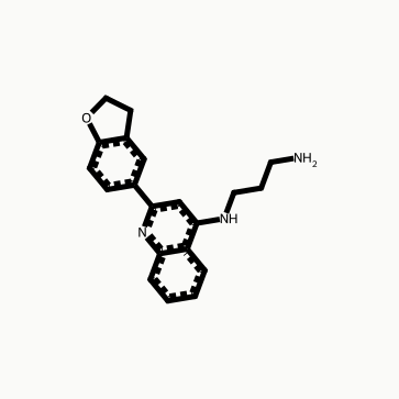 NCCCNc1cc(-c2ccc3c(c2)CCO3)nc2ccccc12